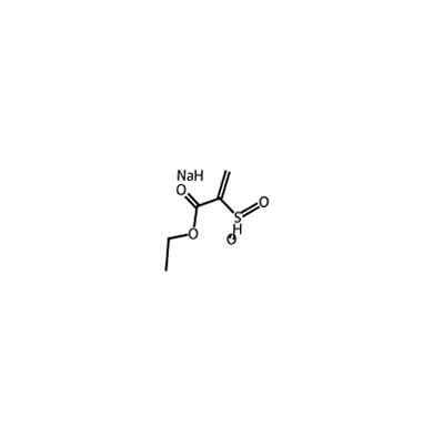 C=C(C(=O)OCC)[SH](=O)=O.[NaH]